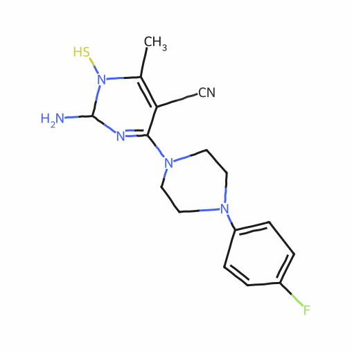 CC1=C(C#N)C(N2CCN(c3ccc(F)cc3)CC2)=NC(N)N1S